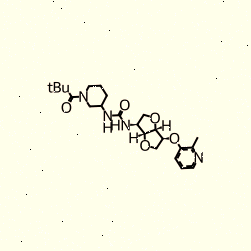 Cc1ncccc1O[C@H]1CO[C@H]2[C@@H]1OC[C@@H]2NC(=O)NC1CCCN(C(=O)C(C)(C)C)C1